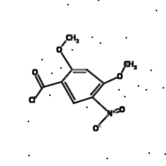 COc1cc(OC)c([N+](=O)[O-])cc1C(=O)Cl